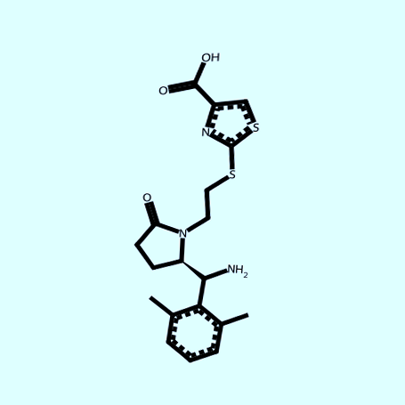 Cc1cccc(C)c1C(N)[C@H]1CCC(=O)N1CCSc1nc(C(=O)O)cs1